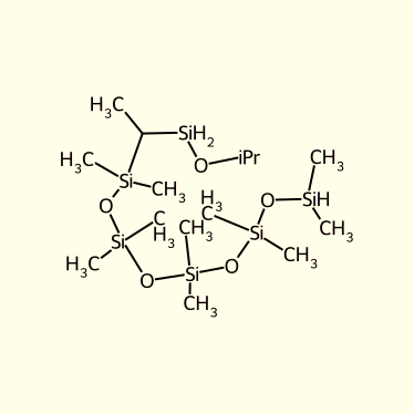 CC(C)O[SiH2]C(C)[Si](C)(C)O[Si](C)(C)O[Si](C)(C)O[Si](C)(C)O[SiH](C)C